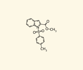 COC(=O)c1cc2ccccc2n1S(=O)(=O)c1ccc(C)cc1